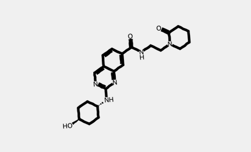 O=C(NCCN1CCCCC1=O)c1ccc2cnc(N[C@H]3CC[C@H](O)CC3)nc2c1